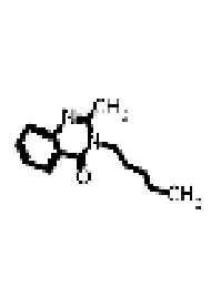 CCCCCn1c(C)nc2ccccc2c1=O